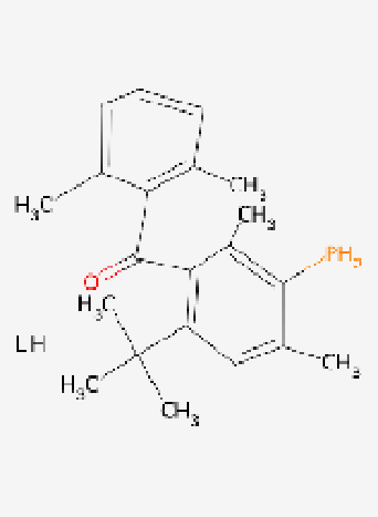 Cc1cc(C(C)(C)C)c(C(=O)c2c(C)cccc2C)c(C)c1P.[LiH]